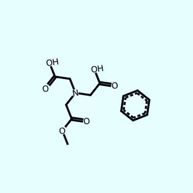 COC(=O)CN(CC(=O)O)CC(=O)O.c1ccccc1